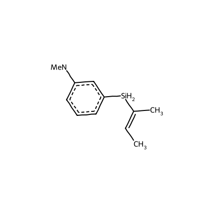 CC=C(C)[SiH2]c1cccc(NC)c1